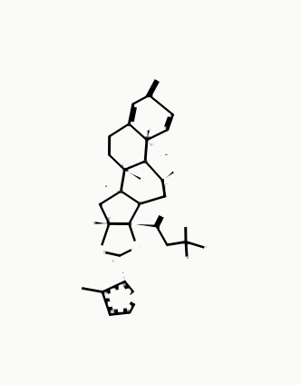 C=C1C=C[C@@]2(C)C(=C1)CC[C@@H]1[C@@H]2[C@@H](O)CC2[C@H]1C[C@H]1O[C@@H](c3sccc3F)O[C@@]21C(=O)CC(C)(C)C